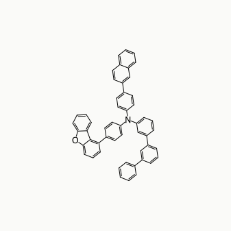 c1ccc(-c2cccc(-c3cccc(N(c4ccc(-c5ccc6ccccc6c5)cc4)c4ccc(-c5cccc6oc7ccccc7c56)cc4)c3)c2)cc1